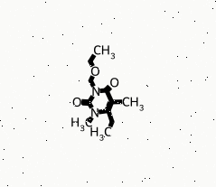 CCOCn1c(=O)c(C)c(CC)n(C)c1=O